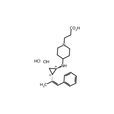 CC(=Cc1ccccc1)[C@@H]1C[C@H]1NC1CCN(CCC(=O)O)CC1.Cl.Cl